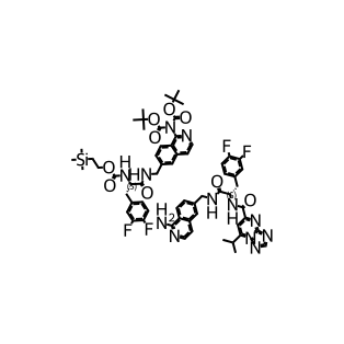 CC(C)(C)OC(=O)N(C(=O)OC(C)(C)C)c1nccc2cc(CNC(=O)[C@H](Cc3ccc(F)c(F)c3)NC(=O)OCC[Si](C)(C)C)ccc12.CC(C)c1cc(C(=O)N[C@@H](Cc2ccc(F)c(F)c2)C(=O)NCc2ccc3c(N)nccc3c2)nc2ncnn12